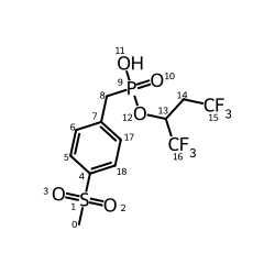 CS(=O)(=O)c1ccc(CP(=O)(O)OC(CC(F)(F)F)C(F)(F)F)cc1